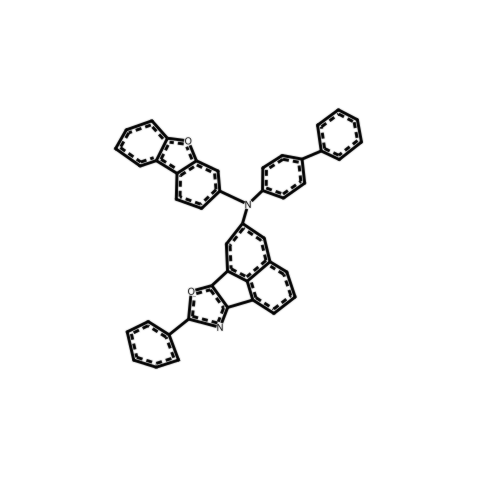 c1ccc(-c2ccc(N(c3cc4c5c(cccc5c3)-c3nc(-c5ccccc5)oc3-4)c3ccc4c(c3)oc3ccccc34)cc2)cc1